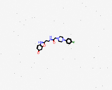 O=C1C=CC2=C(C1)OC(CCNC(=O)CN1CCN(c3ccc(F)cc3)CC1)N2